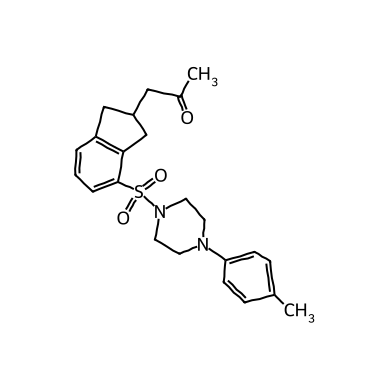 CC(=O)CC1Cc2cccc(S(=O)(=O)N3CCN(c4ccc(C)cc4)CC3)c2C1